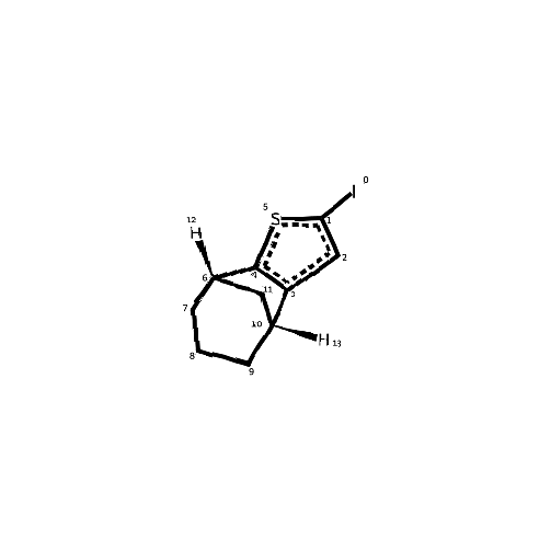 Ic1cc2c(s1)[C@H]1CCC[C@@H]2C1